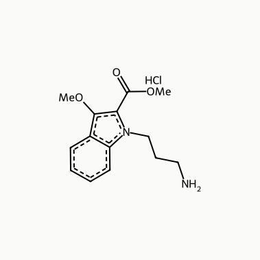 COC(=O)c1c(OC)c2ccccc2n1CCCN.Cl